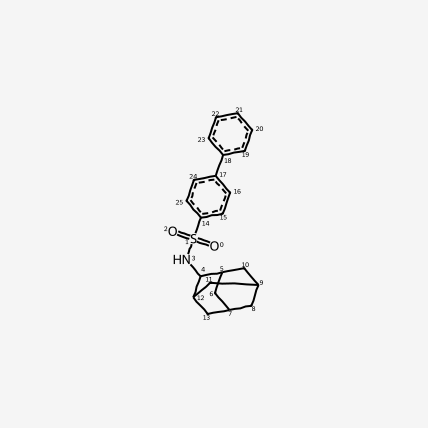 O=S(=O)(NC1C2CC3CC(C2)CC1C3)c1ccc(-c2ccccc2)cc1